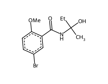 CCC(C)(O)NC(=O)c1cc(Br)ccc1OC